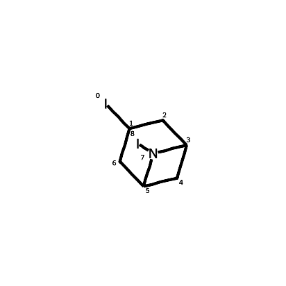 IC1CC2CC(C1)N2I